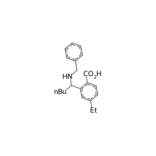 CCCCC(NCc1ccccc1)c1cc(CC)ccc1C(=O)O